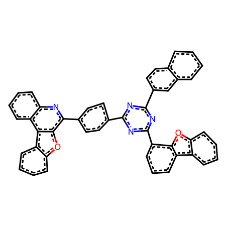 c1ccc2cc(-c3nc(-c4ccc(-c5nc6ccccc6c6c5oc5ccccc56)cc4)nc(-c4cccc5c4oc4ccccc45)n3)ccc2c1